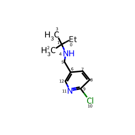 CCC(C)(C)NCc1ccc(Cl)nc1